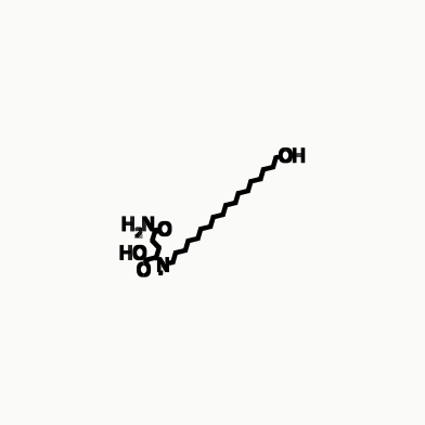 CN(CCCCCCCCCCCCCCCCCCO)C(CCC(N)=O)C(=O)O